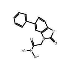 CCCN(CCC)C(=O)Cn1c(=O)oc2ccc(-c3ccccc3)cc21